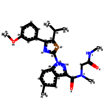 CNC(=O)CN(C)C(=O)c1nn(-c2nc(-c3cccc(OC)c3)c(C(C)C)s2)c2ccc(C)cc12